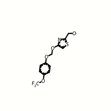 [O]Cc1nc(OCOc2ccc(OC(F)(F)F)cc2)cs1